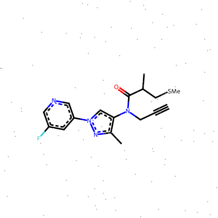 C#CCN(C(=O)C(C)CSC)c1cn(-c2cncc(F)c2)nc1C